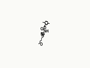 CC(=O)CCCCn1cc(NC(=O)OCc2cc(C)ccc2C)cn1